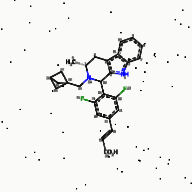 C[C@@H]1Cc2c([nH]c3ccccc23)C(c2c(F)cc(/C=C/C(=O)O)cc2F)N1CC12CC(C1)C2